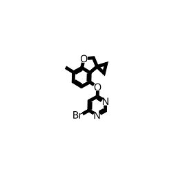 Cc1ccc(Oc2cc(Br)ncn2)c2c1OCC21CC1